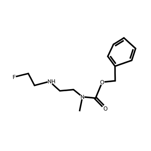 CN(CCNCCF)C(=O)OCc1ccccc1